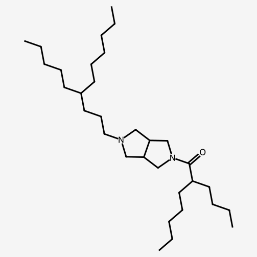 CCCCCCC(CCCCC)CCCN1CC2CN(C(=O)C(CCCC)CCCCC)CC2C1